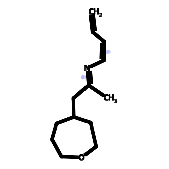 C=C/C=C\N=C(/C)CC1CCCOCC1